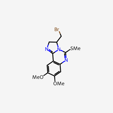 COc1cc2c(cc1OC)C1=NCC(CBr)N1C(SC)=N2